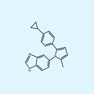 Cc1[c]cc(-c2ccc(C3CC3)cc2)n1-c1ccc2[nH]cnc2c1